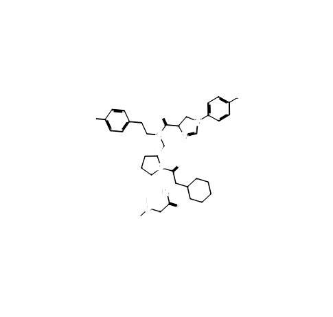 CN[C@@H](C)C(=O)N[C@H](C(=O)N1CCC[C@H]1CN(CCc1ccc(F)cc1)C(=O)C1CN(c2ccc(F)cc2)C=N1)C1CCCCC1